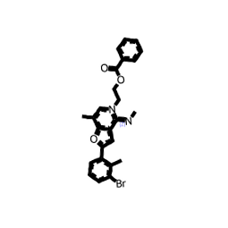 C/N=c1/c2cc(-c3cccc(Br)c3C)oc2c(C)cn1CCOC(=O)c1ccccc1